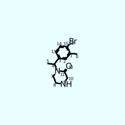 Cc1cc(C(C)N2CCNCC2=O)ccc1Br